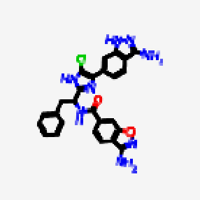 Nc1n[nH]c2cc(-c3nc(C(Cc4ccccc4)NC(=O)c4ccc5c(N)noc5c4)[nH]c3Cl)ccc12